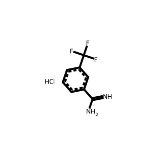 Cl.N=C(N)c1cccc(C(F)(F)F)c1